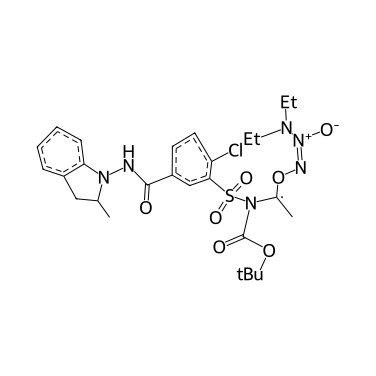 CCN(CC)/[N+]([O-])=N\O[C](C)N(C(=O)OC(C)(C)C)S(=O)(=O)c1cc(C(=O)NN2c3ccccc3CC2C)ccc1Cl